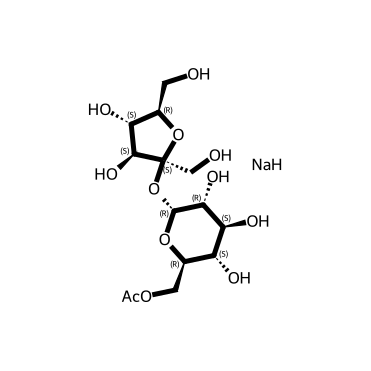 CC(=O)OC[C@H]1O[C@H](O[C@]2(CO)O[C@H](CO)[C@@H](O)[C@@H]2O)[C@H](O)[C@@H](O)[C@@H]1O.[NaH]